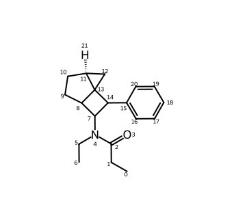 CCC(=O)N(CC)C1C2CC[C@H]3CC23C1c1ccccc1